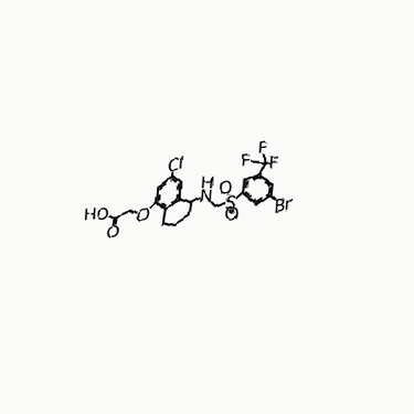 O=C(O)COc1cc(Cl)cc2c1CCCC2NCS(=O)(=O)c1cc(Br)cc(C(F)(F)F)c1